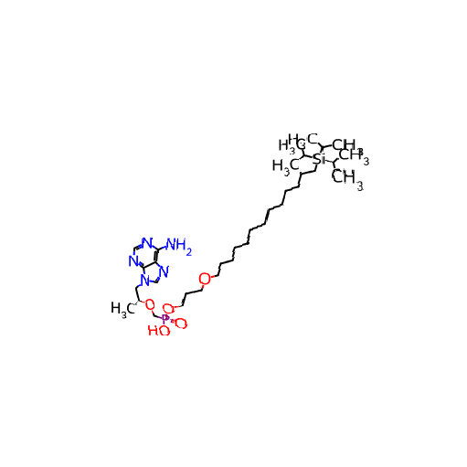 CC(C)[Si](CCCCCCCCCCCCCOCCCOP(=O)(O)CO[C@H](C)Cn1cnc2c(N)ncnc21)(C(C)C)C(C)C